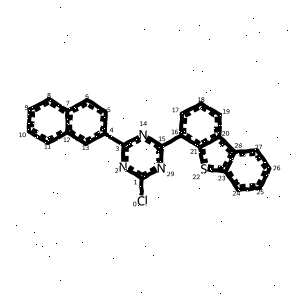 Clc1nc(-c2ccc3ccccc3c2)nc(-c2cccc3c2sc2ccccc23)n1